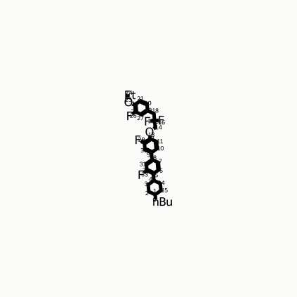 CCCCC1CCC(c2ccc(-c3ccc(OCC(F)(F)Cc4ccc(OCC)c(F)c4)c(F)c3)cc2F)CC1